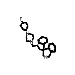 Fc1ccc(N2CCN(CCCC3(c4ccccc4)CN=Cc4ccccc43)CC2)cc1